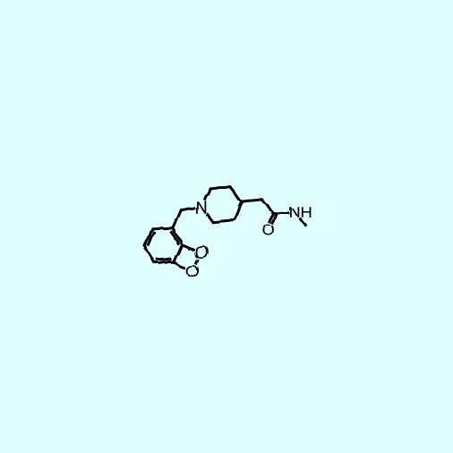 CNC(=O)CC1CCN(Cc2cccc3ooc23)CC1